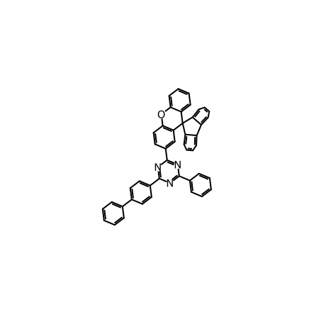 c1ccc(-c2ccc(-c3nc(-c4ccccc4)nc(-c4ccc5c(c4)C4(c6ccccc6O5)c5ccccc5-c5ccccc54)n3)cc2)cc1